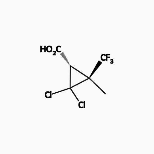 C[C@@]1(C(F)(F)F)[C@@H](C(=O)O)C1(Cl)Cl